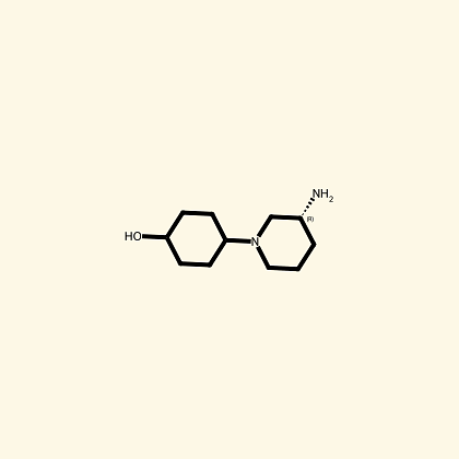 N[C@@H]1CCCN(C2CCC(O)CC2)C1